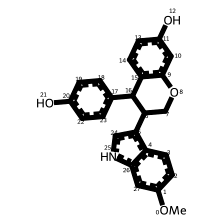 COc1ccc2c(C3COc4cc(O)ccc4C3c3ccc(O)cc3)c[nH]c2c1